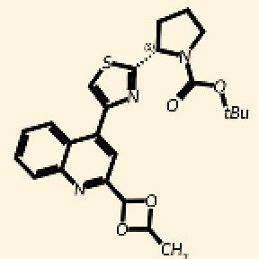 CC1OC(c2cc(-c3csc([C@@H]4CCCN4C(=O)OC(C)(C)C)n3)c3ccccc3n2)O1